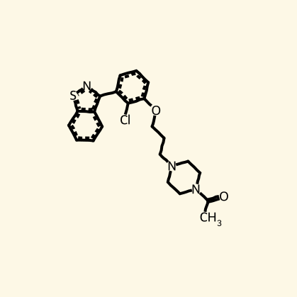 CC(=O)N1CCN(CCCOc2cccc(-c3nsc4ccccc34)c2Cl)CC1